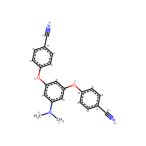 CN(C)c1cc(Oc2ccc(C#N)cc2)cc(Oc2ccc(C#N)cc2)c1